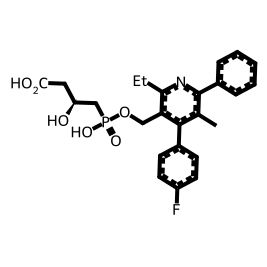 CCc1nc(-c2ccccc2)c(C)c(-c2ccc(F)cc2)c1COP(=O)(O)C[C@@H](O)CC(=O)O